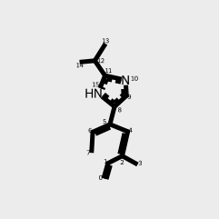 C=C/C(C)=C\C(=C/C)c1cnc(C(C)C)[nH]1